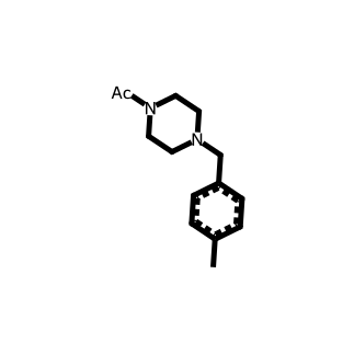 [CH2]C(=O)N1CCN(Cc2ccc(C)cc2)CC1